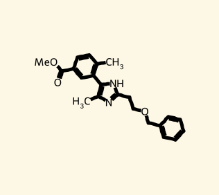 COC(=O)c1ccc(C)c(-c2[nH]c(CCOCc3ccccc3)nc2C)c1